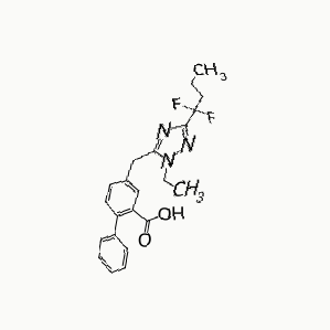 CCCC(F)(F)c1nc(Cc2ccc(-c3ccccc3)c(C(=O)O)c2)n(CC)n1